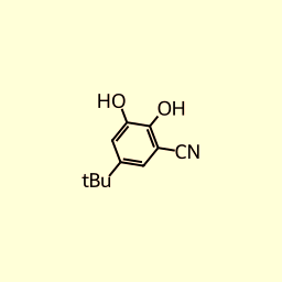 CC(C)(C)c1cc(O)c(O)c(C#N)c1